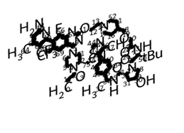 C=CC(=O)N1CCN(c2nc(OCCN3CCC(COCC(=O)N[C@H](C(=O)N4C[C@H](O)C[C@H]4C(=O)N[C@@H](C)c4ccc(-c5scnc5C)cc4)C(C)(C)C)CC3)nc3c(F)c(-c4nc(N)cc(C)c4C(F)(F)F)c(Cl)cc23)C[C@@H]1CC#N